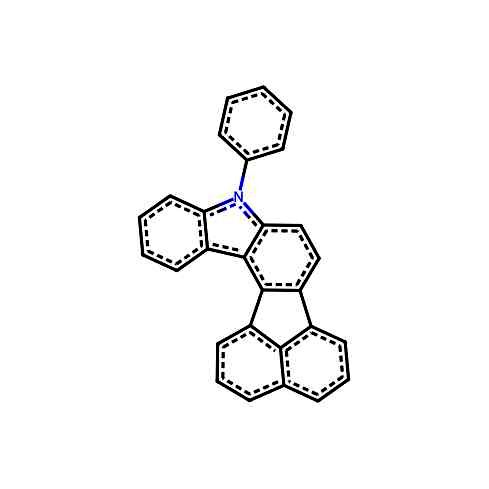 c1ccc(-n2c3ccccc3c3c4c(ccc32)-c2cccc3cccc-4c23)cc1